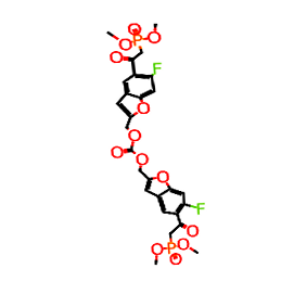 COP(=O)(CC(=O)c1cc2cc(COC(=O)OCc3cc4cc(C(=O)CP(=O)(OC)OC)c(F)cc4o3)oc2cc1F)OC